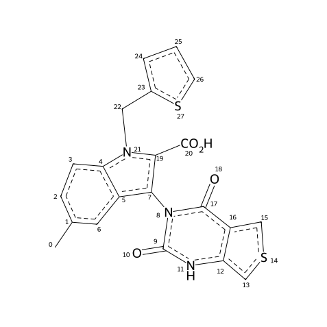 Cc1ccc2c(c1)c(-n1c(=O)[nH]c3cscc3c1=O)c(C(=O)O)n2Cc1cccs1